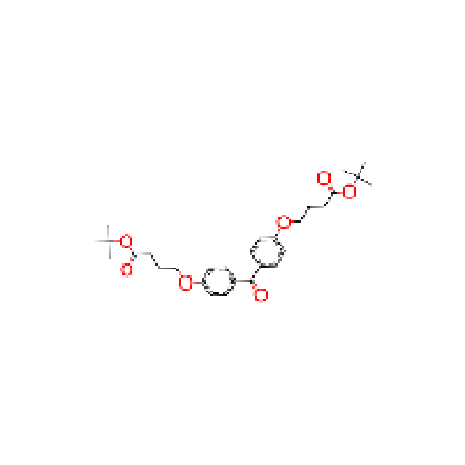 CC(C)(C)OC(=O)CCCOc1ccc(C(=O)c2ccc(OCCCC(=O)OC(C)(C)C)cc2)cc1